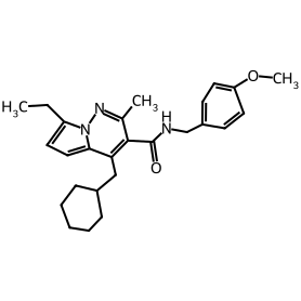 CCc1ccc2c(CC3CCCCC3)c(C(=O)NCc3ccc(OC)cc3)c(C)nn12